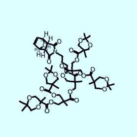 CC1(C)COC(C)(C(=O)OCC(C)(COC(=O)C2(C)COC(C)(C)OC2)C(=O)OCC(C)(COC(=O)C(C)(COC(=O)C2(C)COC(C)(C)OC2)COC(=O)C2(C)COC(C)(C)OC2)C(=O)OCCCN2C(=O)[C@@H]3[C@H](C2=O)[C@H]2C=C[C@@H]3O2)CO1